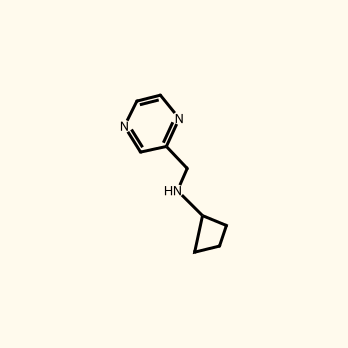 c1cnc(CNC2CCC2)cn1